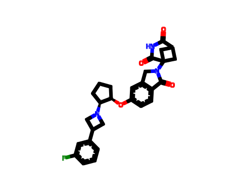 O=C1NC(=O)C2(N3Cc4cc(O[C@@H]5CCC[C@@H]5N5CC(c6cccc(F)c6)C5)ccc4C3=O)CC1C2